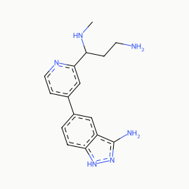 CNC(CCN)c1cc(-c2ccc3[nH]nc(N)c3c2)ccn1